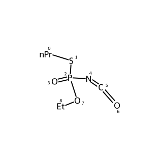 CCCSP(=O)(N=C=O)OCC